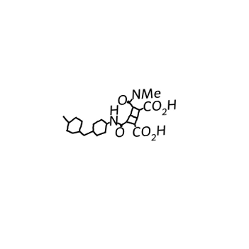 CNC(=O)C1C(C(=O)O)C2C(C(=O)O)C(C(=O)NC3CCC(CC4CCC(C)CC4)CC3)C12